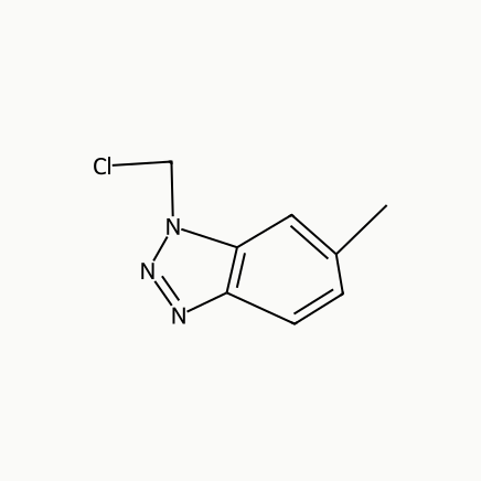 Cc1ccc2nnn(CCl)c2c1